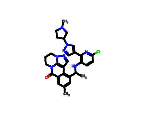 Cc1cc(C(C)Nc2ccc(Cl)nc2-c2cnn(C3CCN(C)C3)c2)c2c(c1)c(=O)n1c3c2cnn3CCC1